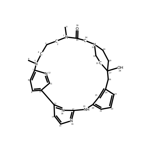 CN1CCCN(C)c2ccc(cn2)-c2ccnc(n2)Nc2cccc(c2)CC2(O)CCN(CC2)CC1=O